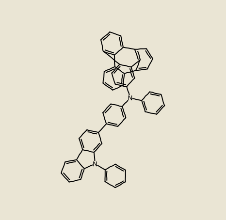 c1ccc(N(c2ccc(-c3ccc4c5ccccc5n(-c5ccccc5)c4c3)cc2)c2ccc3c(c2)-c2c4cccc2-c2cccc-3c2-c2ccccc2-4)cc1